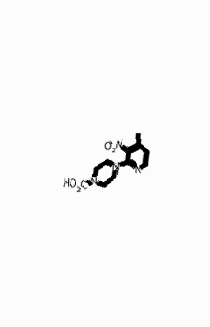 Cc1ccnc(N2CCN(C(=O)O)CC2)c1[N+](=O)[O-]